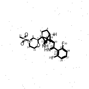 CC1(C)[C@H]2CC[C@]1([C@@H]1CN(S(C)(=O)=O)CCO1)C(=N)/C2=C\C(=N)c1c(F)cccc1F